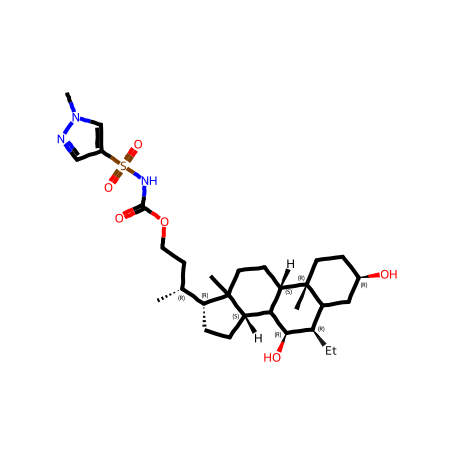 CC[C@@H]1C2C[C@H](O)CC[C@@]2(C)[C@H]2CCC3(C)[C@@H]([C@H](C)CCOC(=O)NS(=O)(=O)c4cnn(C)c4)CC[C@H]3C2[C@@H]1O